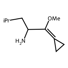 COC(=C1CC1)C(N)CC(C)C